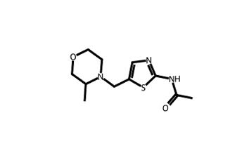 CC(=O)Nc1ncc(CN2CCOCC2C)s1